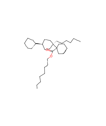 CCCCCCCCOC(=O)C1([C@]2(CCCCCC)CC[C@H](C3CCCCC3)CC2)CCCCC1